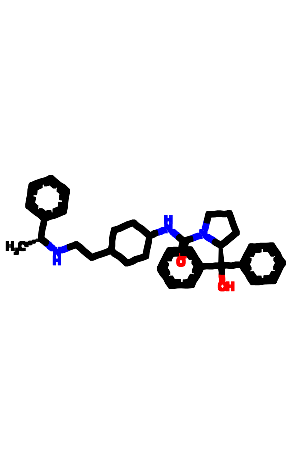 C[C@@H](NCCC1CCC(NC(=O)N2CCC[C@H]2C(O)(c2ccccc2)c2ccccc2)CC1)c1ccccc1